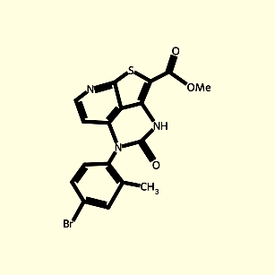 COC(=O)c1sc2nccc3c2c1NC(=O)N3c1ccc(Br)cc1C